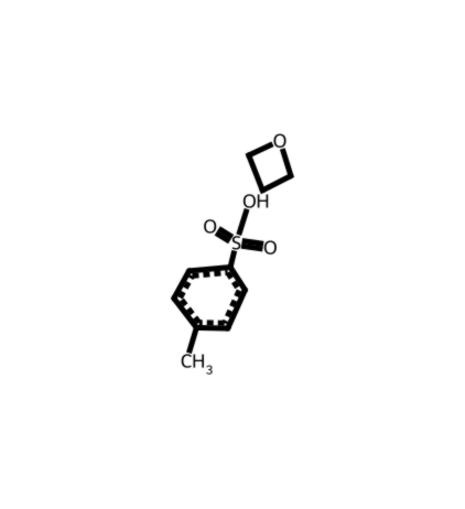 C1COC1.Cc1ccc(S(=O)(=O)O)cc1